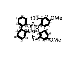 COc1ccc(OPOc2ccccc2-c2ccccc2OPOc2ccc(OC)cc2C(C)(C)C)c(C(C)(C)C)c1